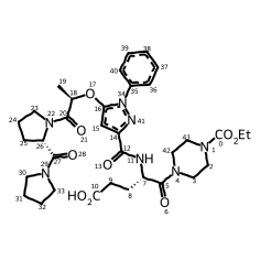 CCOC(=O)N1CCN(C(=O)[C@H](CCC(=O)O)NC(=O)c2cc(O[C@H](C)C(=O)N3CCC[C@H]3C(=O)N3CCCC3)n(-c3ccccc3)n2)CC1